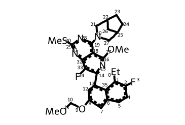 CCc1c(F)ccc2cc(OCOC)cc(-c3nc(OC)c4c(N5CC6CCC(C6)C5)nc(SC)nc4c3F)c12